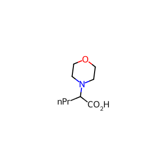 CCCC(C(=O)O)N1CCOCC1